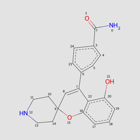 NC(=O)c1ccc(C2=CC3(CCNCC3)Oc3cccc(O)c32)cc1